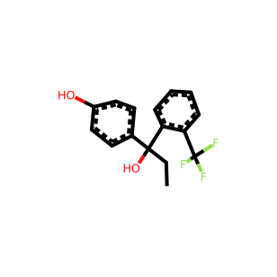 CCC(O)(c1ccc(O)cc1)c1ccccc1C(F)(F)F